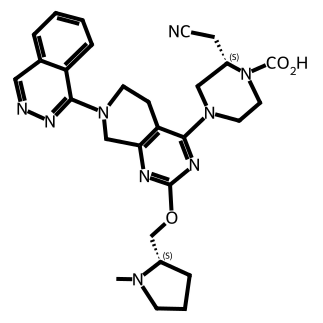 CN1CCC[C@H]1COc1nc2c(c(N3CCN(C(=O)O)[C@@H](CC#N)C3)n1)CCN(c1nncc3ccccc13)C2